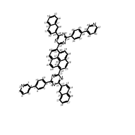 c1cncc(-c2ccc(-c3nc(-c4ccc5ccccc5c4)nc(-c4ccc5ccc6c(-c7nc(-c8ccc(-c9cccnc9)cc8)nc(-c8ccc9ccccc9c8)n7)ccc7ccc4c5c76)n3)cc2)c1